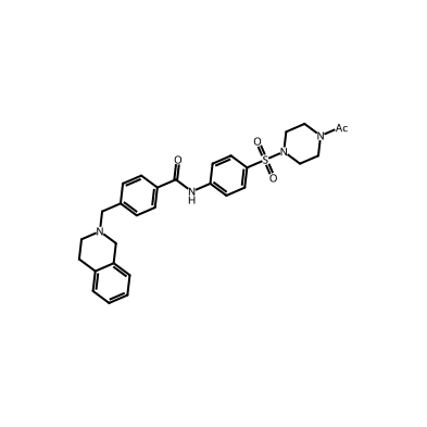 CC(=O)N1CCN(S(=O)(=O)c2ccc(NC(=O)c3ccc(CN4CCc5ccccc5C4)cc3)cc2)CC1